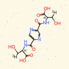 [2H]C(O)[C@@H](NC(=O)c1cnc(C(=O)N[C@@H](C(=O)O)C([2H])O)cn1)C(=O)O